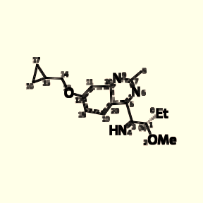 CC[C@H](OC)C(=N)c1nc(C)nc2cc(OCC3CC3)ccc12